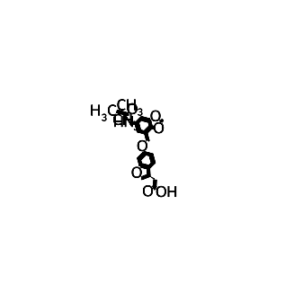 CC(C)(C)C(=O)Nc1cc(COc2ccc3c(c2)OC[C@H]3CC(=O)O)c2c(c1)OCO2